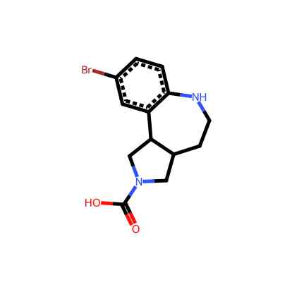 O=C(O)N1CC2CCNc3ccc(Br)cc3C2C1